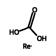 O=C(O)O.[Re]